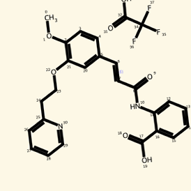 COc1ccc(/C=C/C(=O)Nc2ccccc2C(=O)O)cc1OCCc1ccccn1.O=C(O)C(F)(F)F